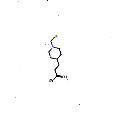 C=C(CCC1CCN(CC(C)C)CC1)C(C)C